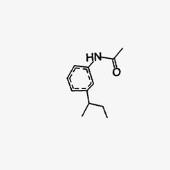 CCC(C)c1cccc(NC(C)=O)c1